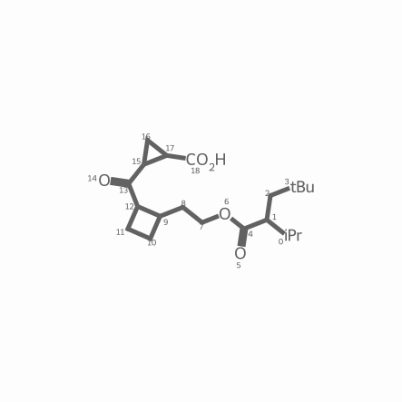 CC(C)C(CC(C)(C)C)C(=O)OCCC1CCC1C(=O)C1CC1C(=O)O